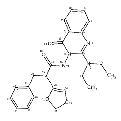 CCN(CC)c1nc2ccccc2c(=O)n1NC(=O)C(Cc1ccccc1)C1=COCO1